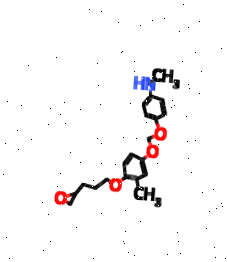 CNc1ccc(OCOc2ccc(OCCCC3CO3)c(C)c2)cc1